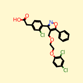 O=C(O)Cc1ccc(-c2noc(-c3ccccc3)c2COCCOc2ccc(Cl)cc2Cl)c(Cl)c1